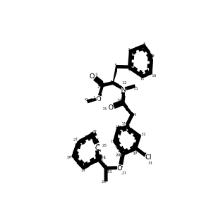 COC(=O)[C@@H](Cc1ccccc1)N(C)C(=O)Cc1ccc(OC(C)c2ccccc2)c(Cl)c1